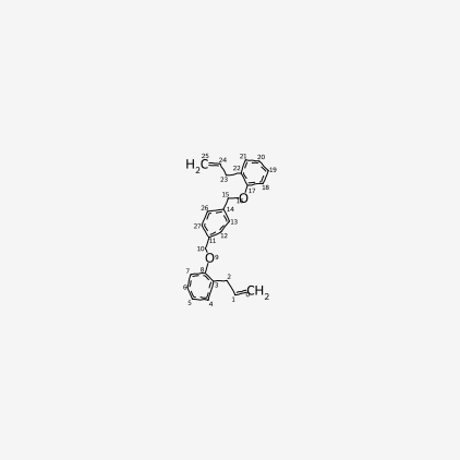 C=CCc1ccccc1OCc1ccc(COc2ccccc2CC=C)cc1